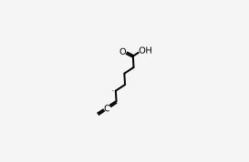 C=C=C[CH]CCCC(=O)O